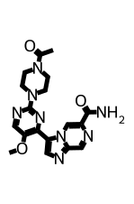 COc1cnc(N2CCN(C(C)=O)CC2)nc1-c1cnc2cnc(C(N)=O)cn12